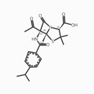 CC(=O)[C@]1(NC(=O)c2ccc(C(C)C)cc2)C(=O)N2[C@@H](C(=O)O)C(C)(C)S[C@@H]21